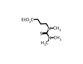 CCOC(=O)CCCN(C)C(=S)N(C)C